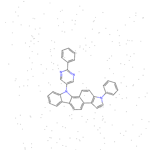 c1ccc(-c2ncc(-n3c4ccccc4c4ccc5c6ccn(-c7ccccc7)c6ccc5c43)cn2)cc1